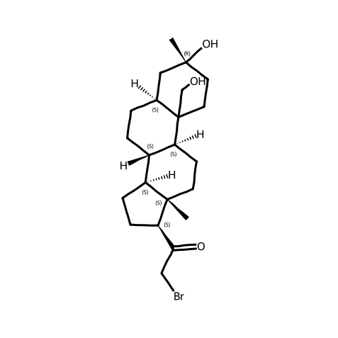 C[C@@]1(O)CCC2(CO)[C@@H](CC[C@@H]3[C@@H]2CC[C@]2(C)[C@@H](C(=O)CBr)CC[C@@H]32)C1